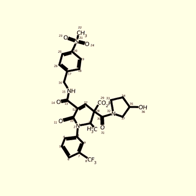 CC1N(c2cccc(C(F)(F)F)c2)C(=O)C(C(=O)NCc2ccc(S(C)(=O)=O)cc2)=CC1(C(=O)O)C(=O)N1CCC(O)C1